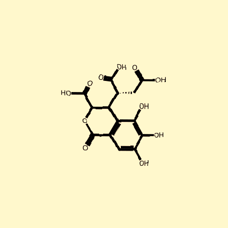 O=C(O)C[C@@H](C(=O)O)C1c2c(cc(O)c(O)c2O)C(=O)OC1C(=O)O